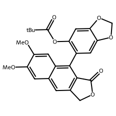 COc1cc2cc3c(c(-c4cc5c(cc4OC(=O)C(C)(C)C)OCO5)c2cc1OC)C(=O)OC3